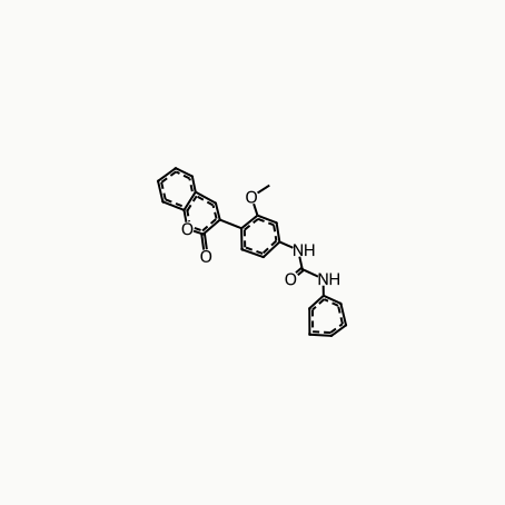 COc1cc(NC(=O)Nc2ccccc2)ccc1-c1cc2ccccc2oc1=O